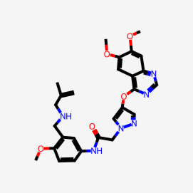 C=C(C)CNCc1cc(NC(=O)Cn2cc(Oc3ncnc4cc(OC)c(OC)cc34)cn2)ccc1OC